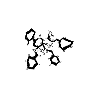 Cc1ccccc1C1=C[C@](O)(OCc2ccccc2)[C@@](O)(OCc2ccccc2)[C@@H](C(O)OCc2ccccc2)O1